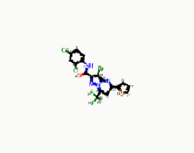 O=C(Nc1ccc(Cl)cc1Cl)c1nn2c(C(F)(F)F)cc(-c3cccs3)nc2c1Br